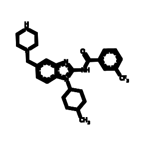 CC1CCC(n2c(NC(=O)c3cccc(C(F)(F)F)c3)nc3cc(CN4CCNCC4)ccc32)CC1